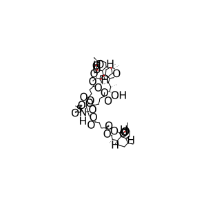 C[C@H]([C@H](O)OC(=O)CCC(=O)OC(COC(=O)CCC(=O)O[C@H]1O[C@H]2OC3(C)CC[C@@H]4[C@@H](C)CC[C@H]([C@@H]1C)[C@]24OO3)(COC(=O)CCC(=O)O[C@H]1O[C@H]2O[C@@]3(C)CC[C@H]4[C@H](C)CC[C@H]([C@@H]1C)[C@@]24OO3)NS(C)(=O)=O)[C@@H]1CCCC2CC[C@H](C)OCC21